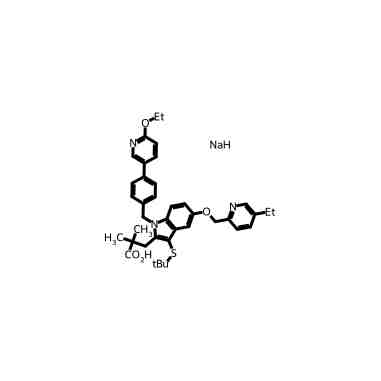 CCOc1ccc(-c2ccc(Cn3c(CC(C)(C)C(=O)O)c(SC(C)(C)C)c4cc(OCc5ccc(CC)cn5)ccc43)cc2)cn1.[NaH]